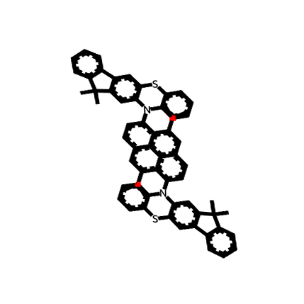 CC(C)c1cc2ccc(N3c4ccccc4Sc4cc5c(cc43)C(C)(C)c3ccccc3-5)c3c(C(C)C)cc4ccc(N5c6ccccc6Sc6cc7c(cc65)C(C)(C)c5ccccc5-7)c1c4c23